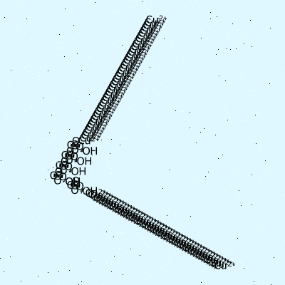 O=S(=O)([O-])OCO.O=S(=O)([O-])OCO.O=S(=O)([O-])OCO.O=S(=O)([O-])OCO.O=S(=O)([O-])OCO.[Cu+2].[Cu+2].[Cu+2].[Cu+2].[Cu+2].[Cu+2].[Cu+2].[Cu+2].[Cu+2].[Cu+2].[Cu+2].[Cu+2].[Cu+2].[Cu+2].[Cu+2].[Cu+2].[Cu+2].[Cu+2].[Cu+2].[Cu+2].[Cu+2].[Cu+2].[Cu+2].[Cu+2].[Cu+2].[Cu+2].[Cu+2].[Cu+2].[Cu+2].[Cu+2].[Cu+2].[Cu+2].[Cu+2].[Cu+2].[Cu+2].[Cu+2].[Cu+2].[Cu+2].[Cu+2].[Cu+2].[Cu+2].[Cu+2].[Cu+2].[Cu+2].[Cu+2].[Cu+2].[Cu+2].[Cu+2].[Cu+2].[Cu+2].[Cu+2].[Cu+2].[Cu+2].[Cu+2].[Cu+2].[Cu+2].[Cu+2].[Cu+2].[Cu+2].[Cu+2].[Cu+2].[Cu+2].[Cu+2].[Cu+2].[Cu+2].[Cu+2].[Cu+2].[Cu+2].[Cu+2].[Cu+2].[Cu+2].[Cu+2].[Cu+2].[Cu+2].[Cu+2].[Cu+2].[Cu+2].[Cu+2].[Cu+2].[Cu+2].[Cu+2].[Cu+2].[Cu+2].[Cu+2].[Cu+2].[Cu+2].[Cu+2].[Cu+2].[Cu+2].[Cu+2].[Cu+2].[Cu+2].[Cu+2].[Cu+2].[Cu+2]